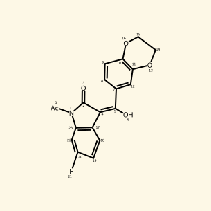 CC(=O)N1C(=O)/C(=C(/O)c2ccc3c(c2)OCCO3)c2ccc(F)cc21